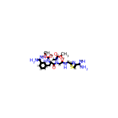 COC(=O)CC[C@](Cc1cccc(C(=N)N)c1)(NC(=O)OC)C(=O)NCC(=O)NCc1nc(C(=N)N)cs1